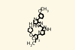 C=CC/C=C(\C=C(/C)OC1CCNCC1)c1ccc2[nH]nc(-c3nc4c(-c5cccc(OC)c5)nccc4[nH]3)c2n1